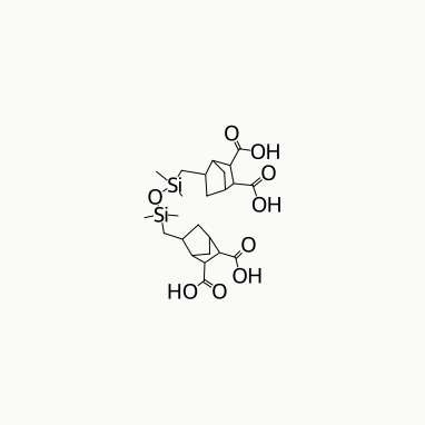 C[Si](C)(CC1CC2CC1C(C(=O)O)C2C(=O)O)O[Si](C)(C)CC1CC2CC1C(C(=O)O)C2C(=O)O